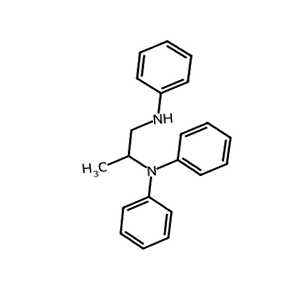 CC(CNc1ccccc1)N(c1ccccc1)c1ccccc1